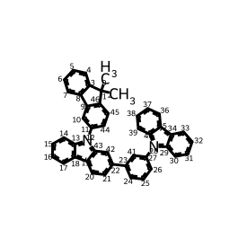 CC1(C)c2ccccc2-c2cc(-n3c4ccccc4c4ccc(-c5cccc(-n6c7ccccc7c7ccccc76)c5)cc43)ccc21